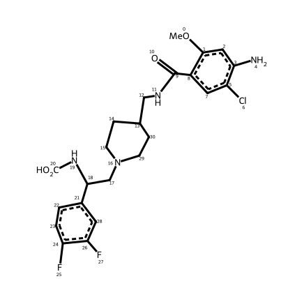 COc1cc(N)c(Cl)cc1C(=O)NCC1CCN(CC(NC(=O)O)c2ccc(F)c(F)c2)CC1